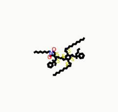 CCCCCCCCCc1ccc(-c2c3cc(C(C)(CCCC)c4ccccc4)sc3c(-c3ccc(CCCCCCCC)s3)c3cc(-c4sc(C(C)(CC)c5ccccc5)c5c6c(sc45)C(=O)N(CCCCCCCC)C6=O)sc23)s1